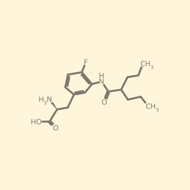 CCCC(CCC)C(=O)Nc1cc(C[C@H](N)C(=O)O)ccc1F